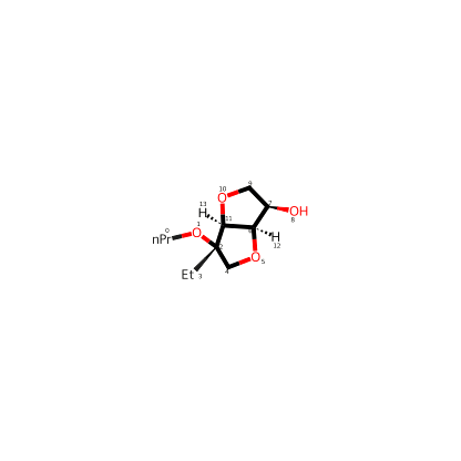 CCCO[C@@]1(CC)CO[C@@H]2[C@H](O)CO[C@@H]21